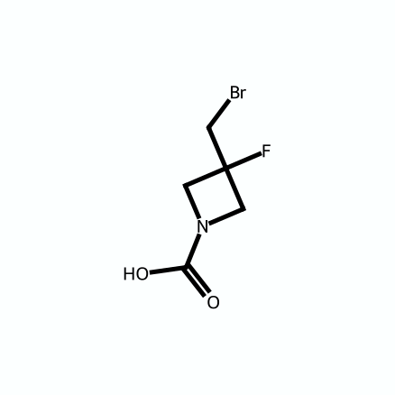 O=C(O)N1CC(F)(CBr)C1